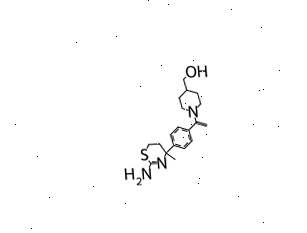 C=C(c1ccc(C2(C)CCSC(N)=N2)cc1)N1CCC(CO)CC1